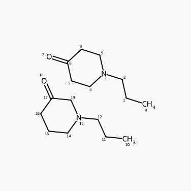 CCCN1CCC(=O)CC1.CCCN1CCCC(=O)C1